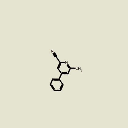 Cc1cc(-c2ccccc2)cc(C#N)n1